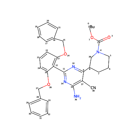 CC(C)(C)OC(=O)N1CCCC(c2nc(-c3c(OCc4ccccc4)cccc3OCc3ccccc3)nc(N)c2C#N)C1